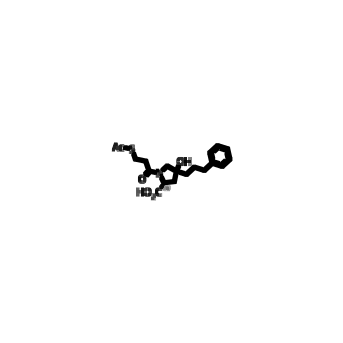 CC(=O)SCCC(=O)N1CC(O)(CCCc2ccccc2)C[C@H]1C(=O)O